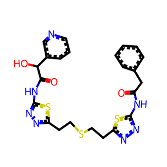 O=C(Cc1ccccc1)Nc1nnc(CCSCCc2nnc(NC(=O)C(O)c3cccnc3)s2)s1